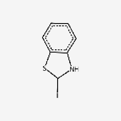 IC1Nc2ccccc2S1